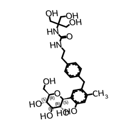 Cc1cc(O)c([C@@H]2O[C@H](CO)[C@@H](O)[C@H](O)[C@H]2O)cc1Cc1ccc(CCNC(=O)NC(CO)(CO)CO)cc1